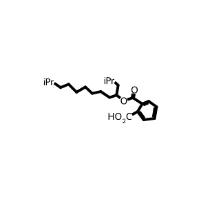 CC(C)CCCCCCCC(CC(C)C)OC(=O)c1ccccc1C(=O)O